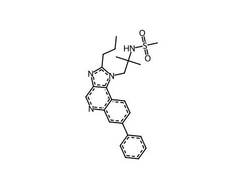 CCCc1nc2cnc3cc(-c4ccccc4)ccc3c2n1CC(C)(C)NS(C)(=O)=O